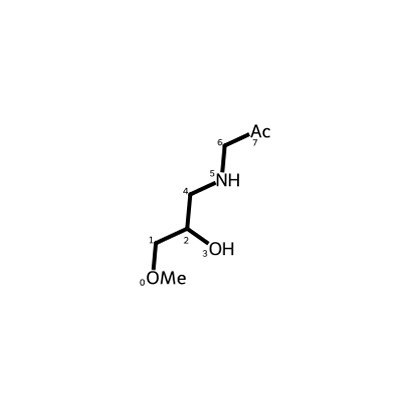 COCC(O)CNCC(C)=O